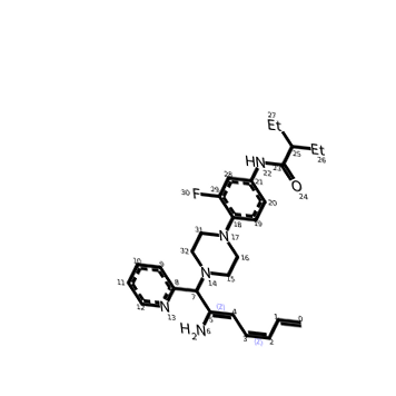 C=C/C=C\C=C(/N)C(c1ccccn1)N1CCN(c2ccc(NC(=O)C(CC)CC)cc2F)CC1